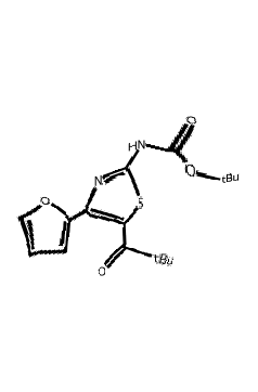 CC(C)(C)OC(=O)Nc1nc(-c2ccco2)c(C(=O)C(C)(C)C)s1